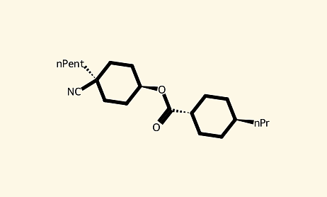 CCCCC[C@]1(C#N)CC[C@@H](OC(=O)[C@H]2CC[C@H](CCC)CC2)CC1